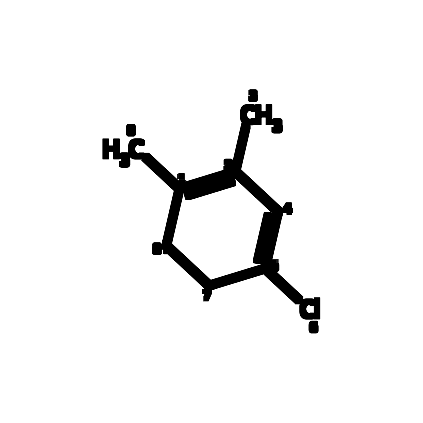 CC1=C(C)C=C(Cl)C[CH]1